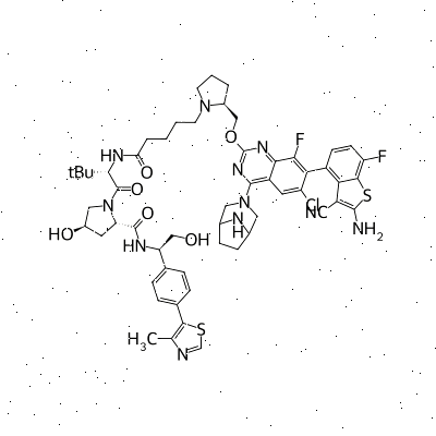 Cc1ncsc1-c1ccc([C@H](CO)NC(=O)[C@@H]2C[C@@H](O)CN2C(=O)[C@@H](NC(=O)CCCCN2CCC[C@H]2COc2nc(N3CC4CCC(C3)N4)c3cc(Cl)c(-c4ccc(F)c5sc(N)c(C#N)c45)c(F)c3n2)C(C)(C)C)cc1